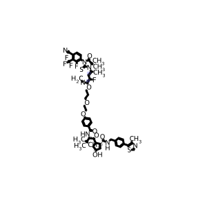 C=N/C(OCCCOCCOc1ccc(C(=O)N[C@H](C(=O)C2C[C@H](O)C[C@H]2C(=O)NCc2ccc(-c3scnc3C)cc2)C(C)(C)C)cc1)=C(F)\C=C(/C)N1C(=S)N(c2ccc(C#N)c(C(F)(F)F)c2F)C(=O)C1(C)C